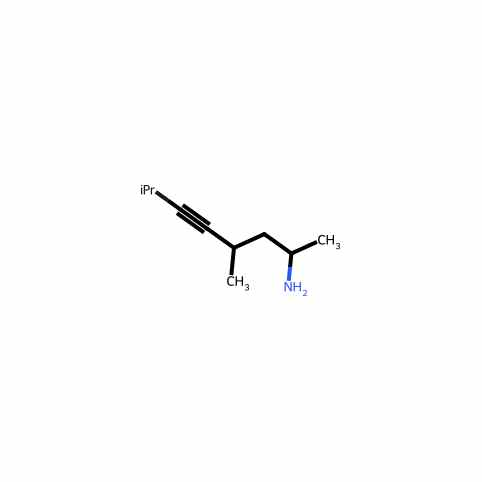 CC(C)C#CC(C)CC(C)N